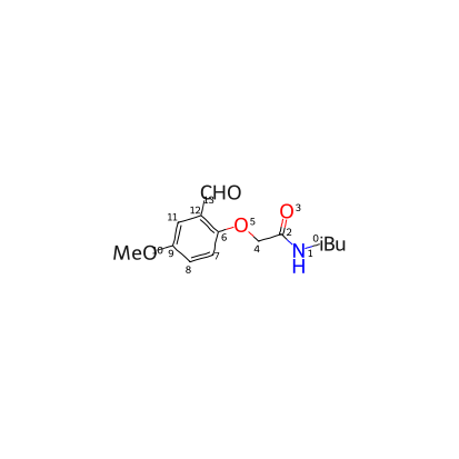 CCC(C)NC(=O)COc1ccc(OC)cc1C=O